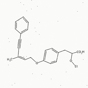 CCOC(Cc1ccc(OCC=C(C)C#Cc2ccccc2)cc1)C(=O)O